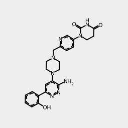 Nc1nnc(-c2ccccc2O)cc1N1CCN(Cc2ccc(N3CCC(=O)NC3=O)cn2)CC1